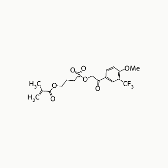 C=C(C)C(=O)OCCCS(=O)(=O)OCC(=O)c1ccc(OC)c(C(F)(F)F)c1